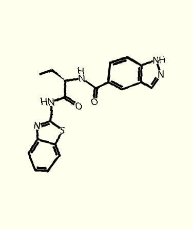 CC[C@@H](NC(=O)c1ccc2[nH]ncc2c1)C(=O)Nc1nc2ccccc2s1